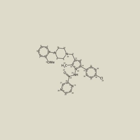 COc1ccccc1N1CCN(Cc2cc(-c3ccc(Cl)cc3)n(NC(=O)c3cnccn3)c2C)CC1